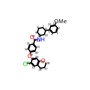 COc1cccc(C2CCCC(NC(=O)c3ccc(Oc4cc5c(cc4Cl)CCCO5)cc3)C2)c1